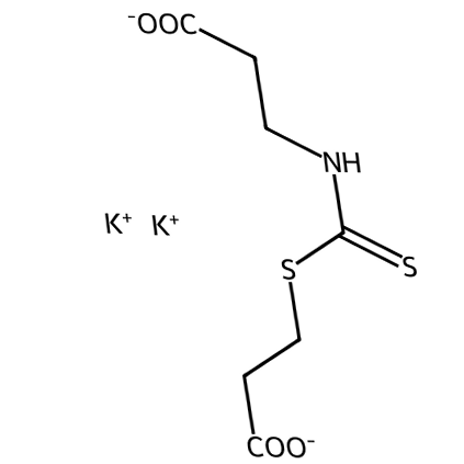 O=C([O-])CCNC(=S)SCCC(=O)[O-].[K+].[K+]